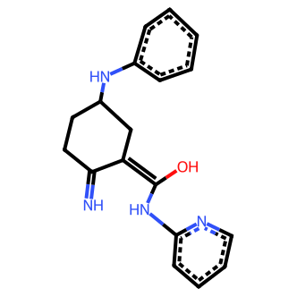 N=C1CCC(Nc2ccccc2)C/C1=C(\O)Nc1ccccn1